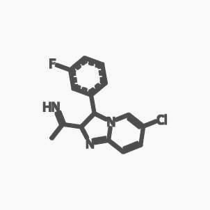 CC(=N)C1N=C2C=CC(Cl)=CN2C1c1cccc(F)c1